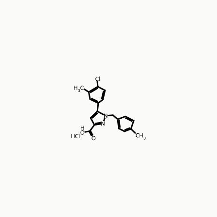 Cc1ccc(Cn2nc(C(=O)O)cc2-c2ccc(Cl)c(C)c2)cc1.Cl